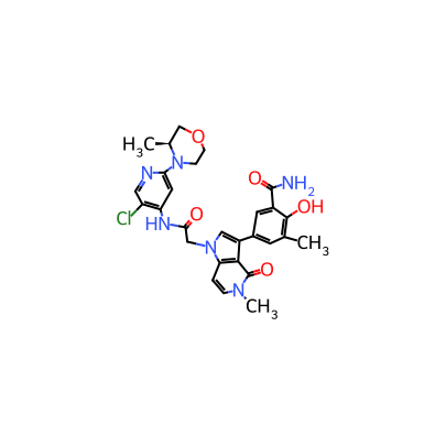 Cc1cc(-c2cn(CC(=O)Nc3cc(N4CCOC[C@@H]4C)ncc3Cl)c3ccn(C)c(=O)c23)cc(C(N)=O)c1O